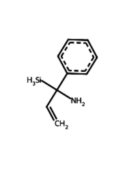 C=CC(N)([SiH3])c1ccccc1